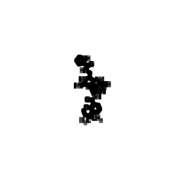 CC1(C)CCOc2c(C(=O)NC3CN4C(=N)NC(CNC(=O)c5ccc[nH]5)C5NC(=N)N[C@@]54C3(O)O)cccc21